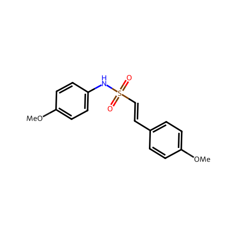 COc1ccc(C=CS(=O)(=O)Nc2ccc(OC)cc2)cc1